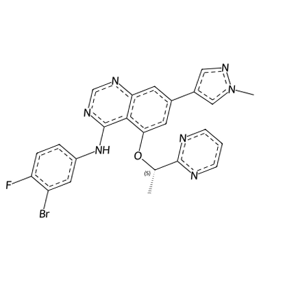 C[C@H](Oc1cc(-c2cnn(C)c2)cc2ncnc(Nc3ccc(F)c(Br)c3)c12)c1ncccn1